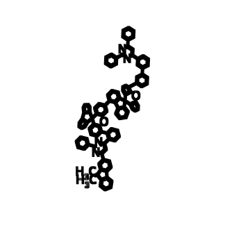 CC1(C)c2ccccc2-c2ccc(-c3cc(-c4ccccc4-c4cccc5c4Oc4cc(-c6cccc7c6-c6ccccc6C76c7ccccc7Oc7c(-c8cccc(-c9cccc(-c%10cc(-c%11ccccc%11)nc(-c%11ccccc%11)n%10)c9)c8)cccc76)ccc4C54c5ccccc5-c5ccccc54)nc(-c4ccccc4)n3)cc21